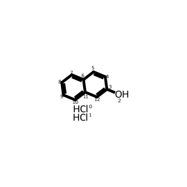 Cl.Cl.Oc1ccc2ccccc2c1